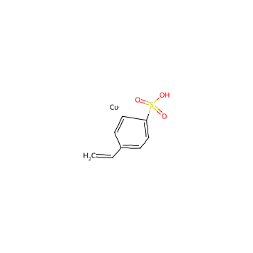 C=Cc1ccc(S(=O)(=O)O)cc1.[Cu]